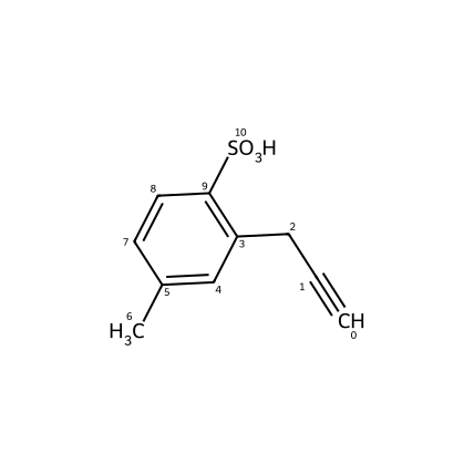 C#CCc1cc(C)ccc1S(=O)(=O)O